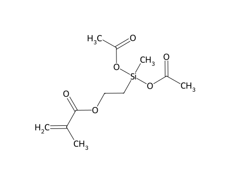 C=C(C)C(=O)OCC[Si](C)(OC(C)=O)OC(C)=O